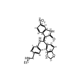 CCNCc1ccc(NC(=C2C(=O)Nc3cc([N+](=O)[O-])ccc32)c2ccc3c(c2)OCO3)cc1